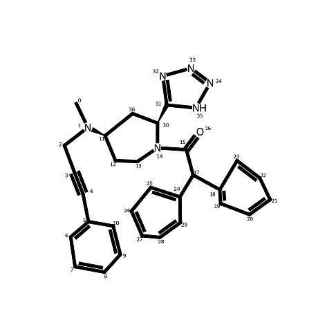 CN(CC#Cc1ccccc1)[C@@H]1CCN(C(=O)C(c2ccccc2)c2ccccc2)[C@H](c2nnn[nH]2)C1